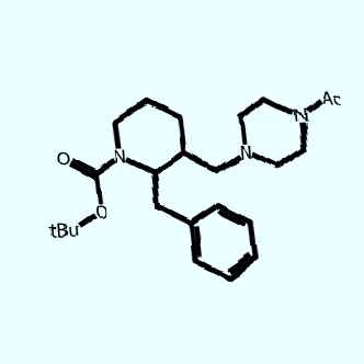 CC(=O)N1CCN(CC2CCCN(C(=O)OC(C)(C)C)C2Cc2ccccc2)CC1